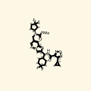 CNC(=O)N(Cc1cnn2cc([C@@H](NC(=O)c3nonc3C3CC3)C3CCC(F)(F)CC3)nc2c1)[C@H]1CCC(F)(F)C1